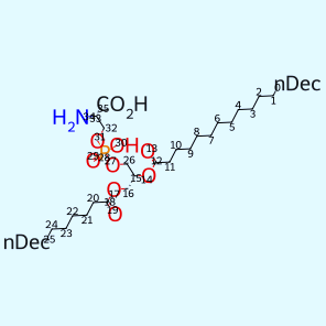 CCCCCCCCCCCCCCCCCCCCCC(=O)O[C@H](COC(=O)CCCCCCCCCCCCCCC)COP(=O)(O)OC[C@H](N)C(=O)O